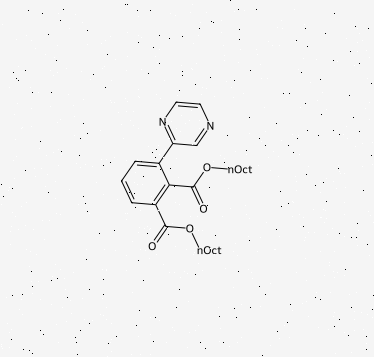 CCCCCCCCOC(=O)c1cccc(-c2cnccn2)c1C(=O)OCCCCCCCC